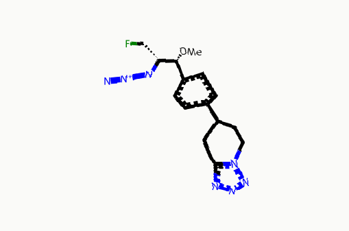 CO[C@H](c1ccc(C2CCn3nnnc3C2)cc1)[C@@H](CF)N=[N+]=[N-]